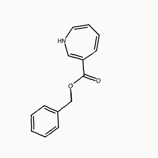 O=C(OCc1ccccc1)C1=CNC=CC=C1